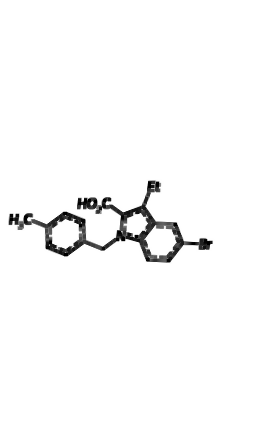 [CH2]Cc1c(C(=O)O)n(Cc2ccc(C)cc2)c2ccc(Br)cc12